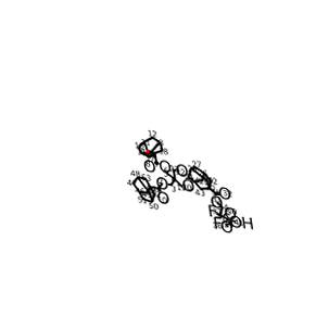 O=C(OCC1(COC(=O)C23CC4CC(CC(C4)C2)C3)COC2(OC1)C1CC3CC2CC(C(=O)OCC(F)(F)S(=O)(=O)O)(C3)C1)C12CC3CC(CC(C3)C1)C2